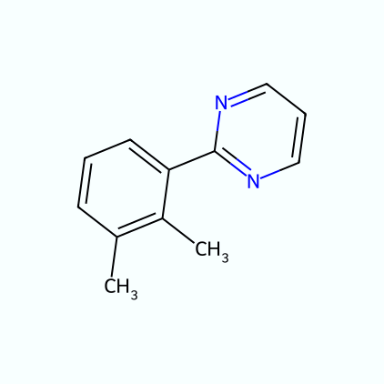 Cc1cccc(-c2ncccn2)c1C